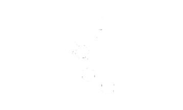 CC(C)(C)OC(=O)N1CCc2nc(C3(c4ccc(-c5ccccc5)cc4)CC3)[nH]c(=O)c2C1